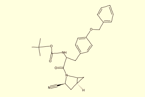 CC(C)(C)OC(=O)NC(Cc1ccc(OCc2ccccc2)cc1)C(=O)N1C2C[C@H]2C[C@H]1C#N